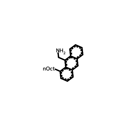 CCCCCCCCc1cccc2cc3ccccc3c(CN)c12